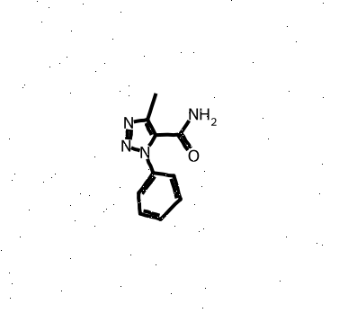 Cc1nnn(-c2ccccc2)c1C(N)=O